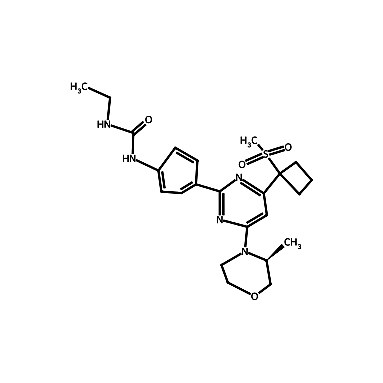 CCNC(=O)Nc1ccc(-c2nc(N3CCOC[C@@H]3C)cc(C3(S(C)(=O)=O)CCC3)n2)cc1